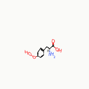 N[C@@H](Cc1ccc(OO)cc1)C(=O)O